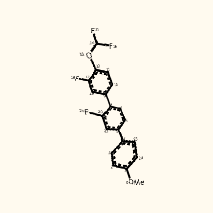 COc1ccc(-c2ccc(-c3ccc(OC(F)F)c(F)c3)c(F)c2)cc1